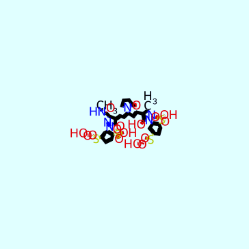 CNC(=O)C1=NN(c2cc(SOOO)ccc2S(=O)(=O)O)C(=O)/C1=C\C=C(C=Cc1c(C)nn(-c2cc(SOOO)ccc2S(=O)(=O)O)c1O)N1CCCC1=O